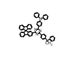 CN(c1ccccc1)c1ccc(-c2nc(-c3ccc(N(c4ccccc4)c4ccccc4)cc3)nc(-c3ccc4c(c3)C3(c5ccccc5-c5ccccc53)c3ccccc3-4)n2)cc1